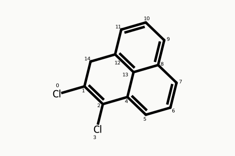 ClC1=C(Cl)c2cccc3cccc(c23)C1